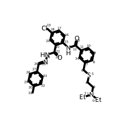 CCN(CC)CCSCc1cccc(C(=O)Nc2ccc(Cl)cc2C(=O)N/N=C/c2ccc(C)cc2)c1